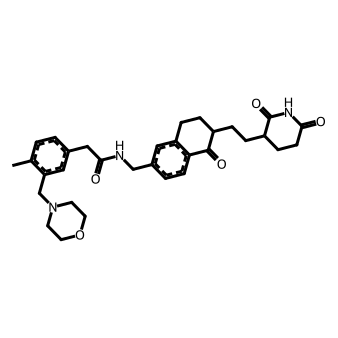 Cc1ccc(CC(=O)NCc2ccc3c(c2)CCC(CCC2CCC(=O)NC2=O)C3=O)cc1CN1CCOCC1